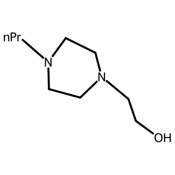 CCCN1CCN(CCO)CC1